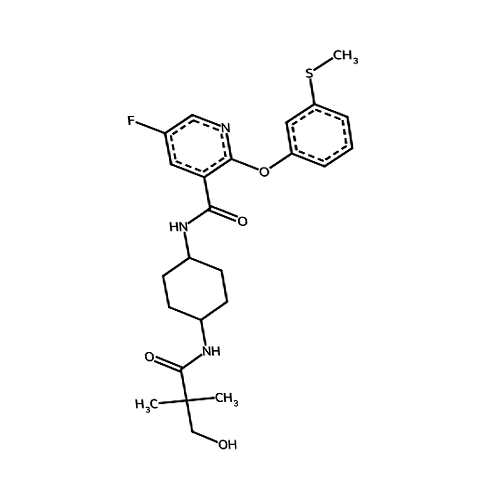 CSc1cccc(Oc2ncc(F)cc2C(=O)NC2CCC(NC(=O)C(C)(C)CO)CC2)c1